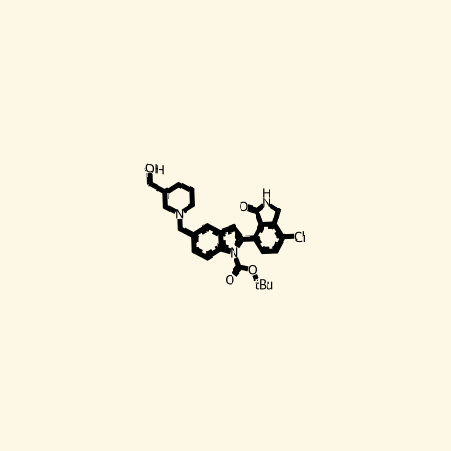 CC(C)(C)OC(=O)n1c(-c2ccc(Cl)c3c2C(=O)NC3)cc2cc(CN3CCCC(CO)C3)ccc21